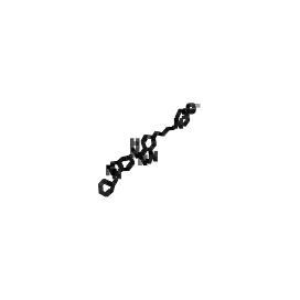 [O-][S+]1CCN(CCCCc2ccc3c(Nc4ccc5c(cnn5Cc5ccccc5)c4)ncnc3c2)CC1